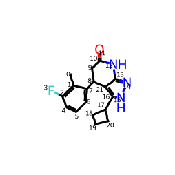 Cc1c(F)cccc1C1CC(=O)Nc2n[nH]c(C3CCC3)c21